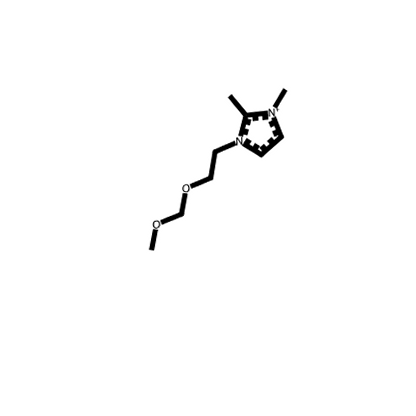 COCOCCn1cc[n+](C)c1C